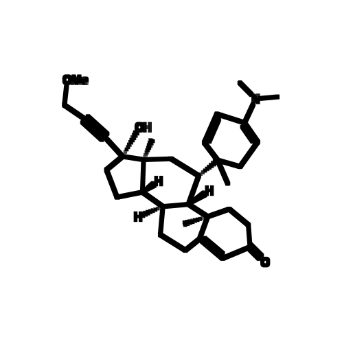 COCC#C[C@]1(O)CC[C@H]2[C@@H]3CCC4=CC(=O)CC[C@]4(C)[C@H]3[C@@H](C3(C)C=CC(N(C)C)=CC3)C[C@@]21C